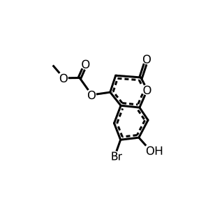 COC(=O)Oc1cc(=O)oc2cc(O)c(Br)cc12